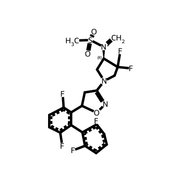 C=[N+]([C@@H]1CN(C2=NOC(c3c(F)ccc(F)c3-c3c(F)cccc3F)C2)CC1(F)F)S(C)(=O)=O